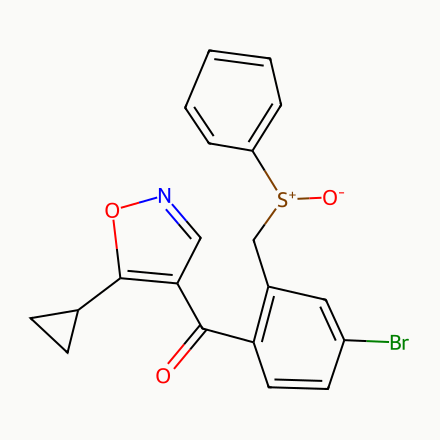 O=C(c1ccc(Br)cc1C[S+]([O-])c1ccccc1)c1cnoc1C1CC1